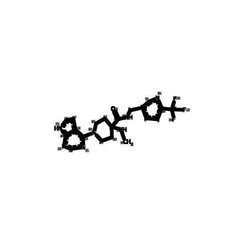 CNC1(C(=O)NCc2ccc(C(F)(F)F)nc2)CCN(c2ncnc3[nH]ccc23)CC1